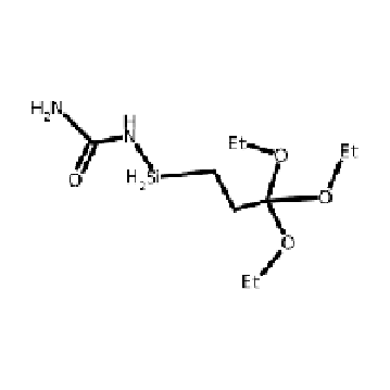 CCOC(CC[SiH2]NC(N)=O)(OCC)OCC